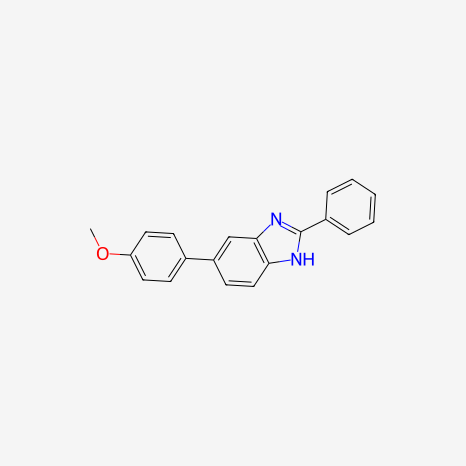 COc1ccc(-c2ccc3[nH]c(-c4ccccc4)nc3c2)cc1